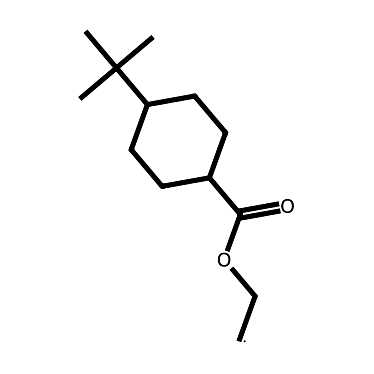 [CH2]COC(=O)C1CCC(C(C)(C)C)CC1